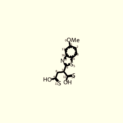 COc1ccc2sc(C(CC(O)=S)C(O)=S)nc2c1